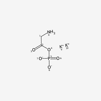 NCC(=O)OP(=O)([O-])[O-].[K+].[K+]